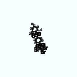 Cc1cc(C)c(S(=O)(=O)c2ccc(S(=O)(=O)C(Br)(Br)Br)cc2)c(C)c1